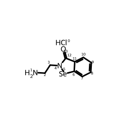 Cl.NCCn1[se]c2ccccc2c1=O